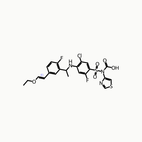 CCO/C=C/c1ccc(F)c(C(C)Nc2cc(F)c(S(=O)(=O)N(C(=O)O)c3cscn3)cc2Cl)c1